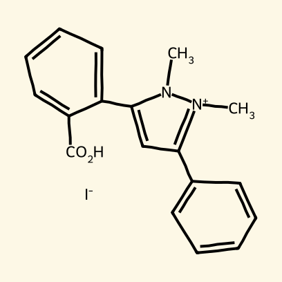 Cn1c(-c2ccccc2C(=O)O)cc(-c2ccccc2)[n+]1C.[I-]